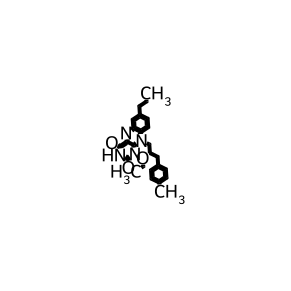 CCCc1ccc2c(c1)nc1c(=O)[nH]c(=O)nc-1n2CC(Cc1ccc(C)cc1)OCC